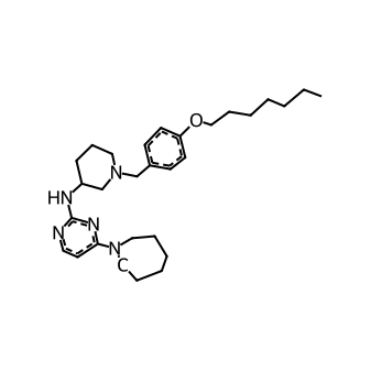 CCCCCCCOc1ccc(CN2CCCC(Nc3nccc(N4CCCCCC4)n3)C2)cc1